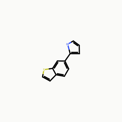 C1=C[N]C(c2ccc3ccsc3c2)=C1